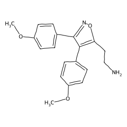 COc1ccc(-c2noc(CCN)c2-c2ccc(OC)cc2)cc1